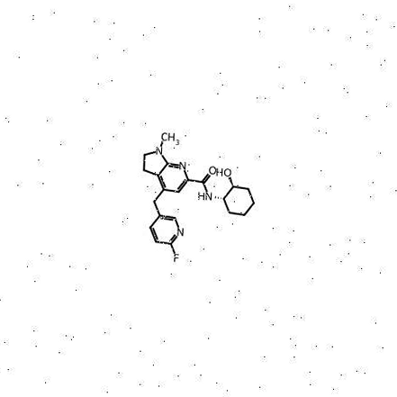 CN1CCc2c(Cc3ccc(F)nc3)cc(C(=O)N[C@H]3CCCC[C@@H]3O)nc21